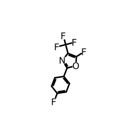 Fc1ccc(-c2nc(C(F)(F)F)c(F)o2)cc1